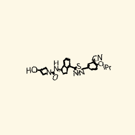 CC(C)Oc1ccc(-c2nnc(-c3cccc4c3CC[C@H]4NC(=O)N3CC(O)C3)s2)cc1C#N